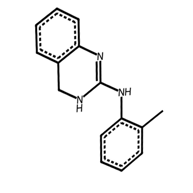 Cc1ccccc1NC1=Nc2ccccc2CN1